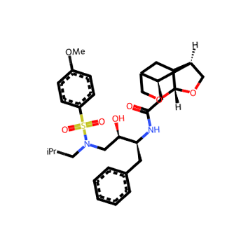 COc1ccc(S(=O)(=O)N(CC(C)C)C[C@@H](O)[C@H](Cc2ccccc2)NC(=O)C[C@H]2C3CO[C@H]4OC[C@@H]2C4C3)cc1